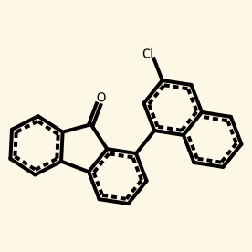 O=C1c2ccccc2-c2cccc(-c3cc(Cl)cc4ccccc34)c21